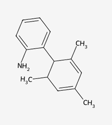 CC1=CC(C)C(c2ccccc2N)C(C)=C1